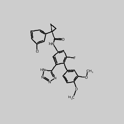 COc1ccc(-c2c(F)cc(NC(=O)C3(c4cccc(Cl)c4)CC3)cc2-c2nnn[nH]2)cc1OC